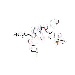 O=C(O)C1=C(Oc2ccc(F)cc2)SC(NC(=O)C(OC2CCOCC2)c2ccc(S(=O)(=O)C3CC3)cc2)N1C(=O)O